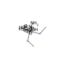 CCCCCCCC/C=C\CCCCCCCC(=O)C(O)(C(=O)CCCCCCC/C=C\CCCCCCCC)[C@H](CO)OC(=O)[C@@H](N)CCCN.O=C1CCC(=O)C(SS)C1O